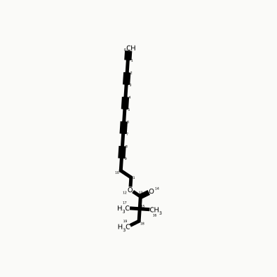 C#CC#CC#CC#CC#CCCOC(=O)C(C)(C)CC